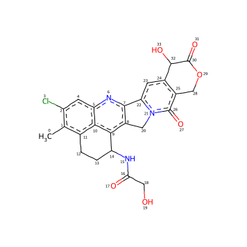 Cc1c(Cl)cc2nc3c(c4c2c1CCC4NC(=O)CO)Cn1c-3cc2c(c1=O)COC(=O)C2O